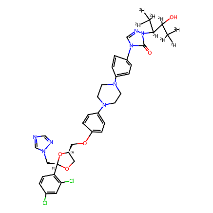 [2H]C([2H])([2H])C([2H])(O)C([2H])(n1ncn(-c2ccc(N3CCN(c4ccc(OC[C@H]5CO[C@](Cn6cncn6)(c6ccc(Cl)cc6Cl)O5)cc4)CC3)cc2)c1=O)C([2H])([2H])[2H]